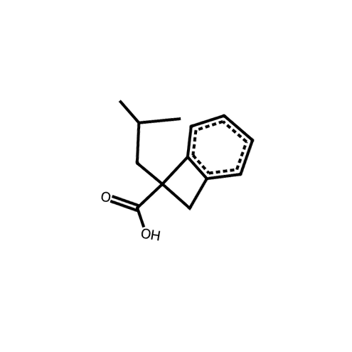 CC(C)CC1(C(=O)O)Cc2ccccc21